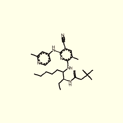 C=C(CC(C)(C)C)NC(CC)C(CCCCC)Nc1nc(Nc2ccnc(C)c2)c(C#N)cc1C